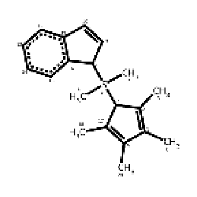 CC1=C(C)C(S(C)(C)C2C=Cc3ccccc32)C(C)=C1C